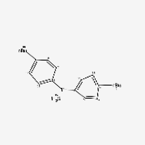 CCCCc1ccc([I+]c2ccc(CCCC)cc2)cc1.S